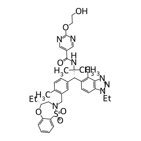 CC[C@@H]1CN(Cc2cc([C@@H](c3ccc4c(nnn4CC)c3C)C(C)(C)NC(=O)c3cnc(OCCO)nc3)ccc2C)S(=O)(=O)c2ccccc2O1